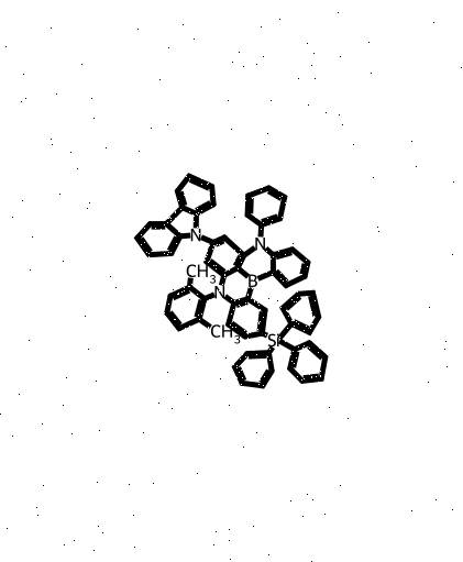 Cc1cccc(C)c1N1c2ccc([Si](c3ccccc3)(c3ccccc3)c3ccccc3)cc2B2c3ccccc3N(c3ccccc3)c3cc(-n4c5ccccc5c5ccccc54)cc1c32